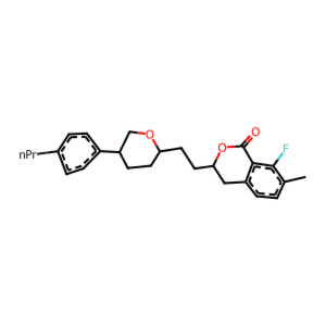 CCCc1ccc(C2CCC(CCC3Cc4ccc(C)c(F)c4C(=O)O3)OC2)cc1